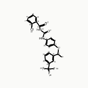 CC(Sc1ccc(NC(=O)NC(=O)c2ccccc2Cl)cc1)c1cccc(C(F)(F)F)c1